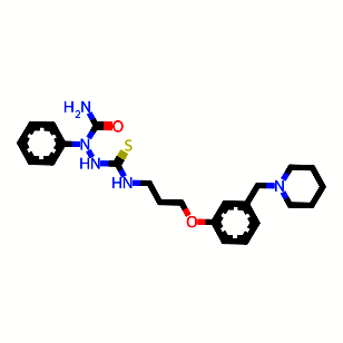 NC(=O)N(NC(=S)NCCCOc1cccc(CN2CCCCC2)c1)c1ccccc1